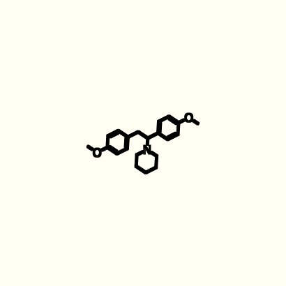 COc1ccc(CC(c2ccc(OC)cc2)N2CCCCC2)cc1